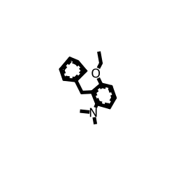 CCOc1cccc(N(C)C)c1Cc1ccccc1